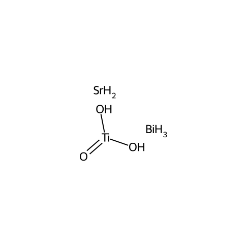 [BiH3].[O]=[Ti]([OH])[OH].[SrH2]